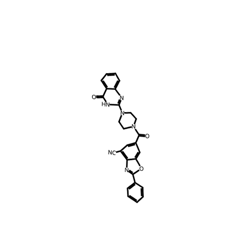 N#Cc1cc(C(=O)N2CCN(c3nc4ccccc4c(=O)[nH]3)CC2)cc2oc(-c3ccccc3)nc12